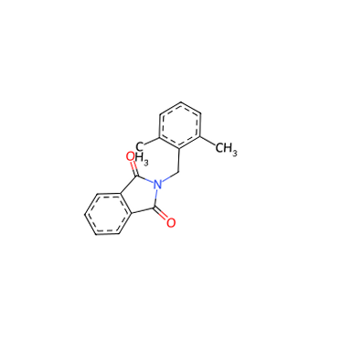 Cc1cccc(C)c1CN1C(=O)c2ccccc2C1=O